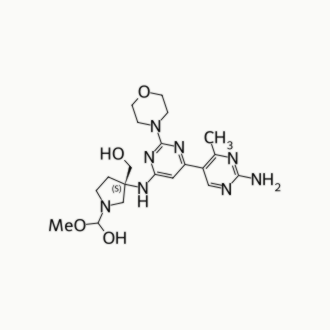 COC(O)N1CC[C@](CO)(Nc2cc(-c3cnc(N)nc3C)nc(N3CCOCC3)n2)C1